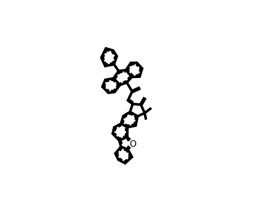 C=C(/C=C1\C(=C)C(C)(C)c2cc3c(ccc4c5ccccc5oc34)cc21)c1c2ccccc2c(-c2ccccc2)c2ccccc12